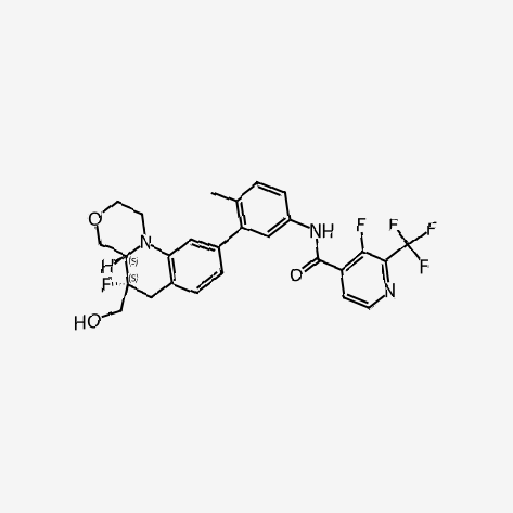 Cc1ccc(NC(=O)c2ccnc(C(F)(F)F)c2F)cc1-c1ccc2c(c1)N1CCOC[C@H]1[C@](F)(CO)C2